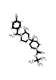 CC1CN(C2(C)CCN(C(=O)OC(C)(C)C)CC2)CCN1C(C)c1ccc(Br)cc1